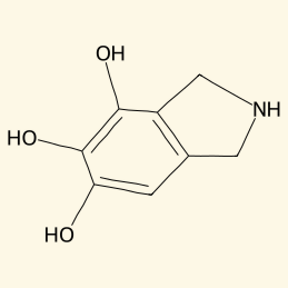 Oc1cc2c(c(O)c1O)CNC2